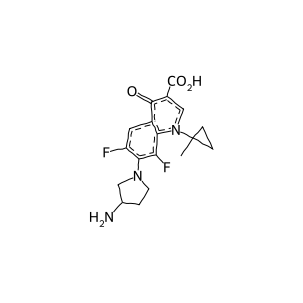 CC1(n2cc(C(=O)O)c(=O)c3cc(F)c(N4CCC(N)C4)c(F)c32)CC1